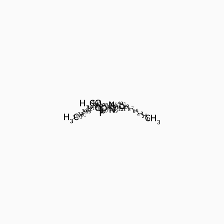 CCCCCCCCCCc1ccc(-c2cnc(-c3ccc(OC(=O)C(C)CCCCCCCC)c(F)c3)nc2)cc1